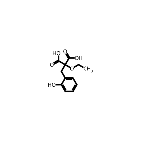 CCOC(Cc1ccccc1O)(C(=O)O)C(=O)O